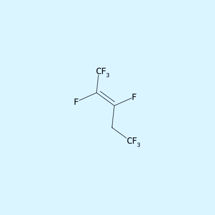 FC(CC(F)(F)F)=C(F)C(F)(F)F